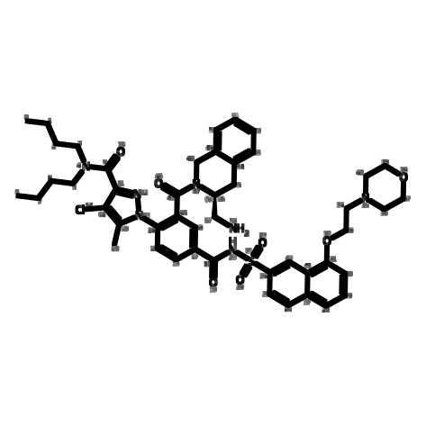 CCCCN(CCCC)C(=O)c1nn(-c2ccc(C(=O)NS(=O)(=O)c3ccc4cccc(OCCN5CCOCC5)c4c3)cc2C(=O)N2Cc3ccccc3C[C@H]2CN)c(C)c1Cl